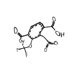 O=C(O)c1ccc(C(=O)O)c(I(=O)=O)c1OC(F)(F)F